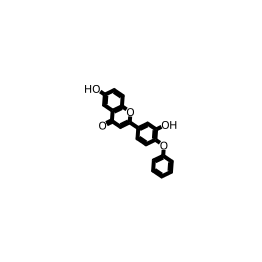 O=c1cc(-c2ccc(Oc3ccccc3)c(O)c2)oc2ccc(O)cc12